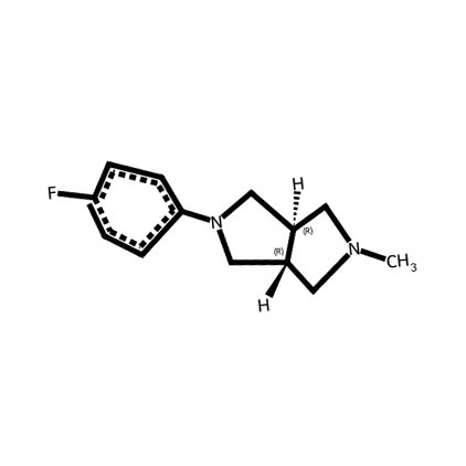 CN1C[C@@H]2CN(c3ccc(F)cc3)C[C@H]2C1